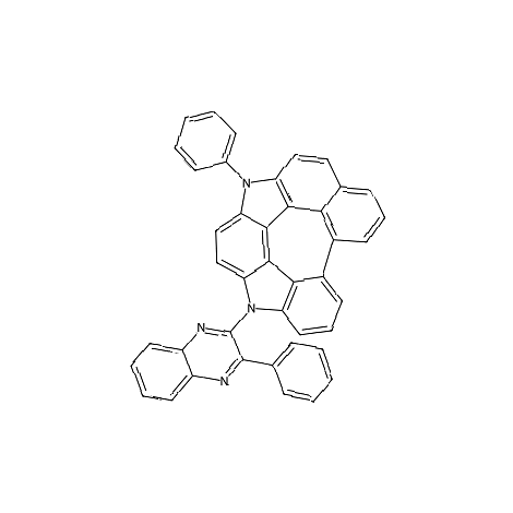 c1ccc(-c2nc3ccccc3nc2-n2c3cccc4c3c3c5c6c7c-4cccc7ccc6n(-c4ccccc4)c5ccc32)cc1